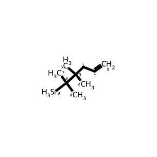 C=CCC(C)(C)C(C)(C)[SiH3]